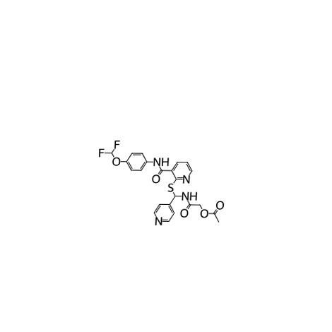 CC(=O)OCC(=O)NC(Sc1ncccc1C(=O)Nc1ccc(OC(F)F)cc1)c1ccncc1